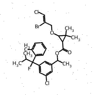 Cc1ccccc1C(F)(c1cc(Cl)cc(C(C)OC(=O)C2C(OCC(Br)=CCl)C2(C)C)c1)C(C)C